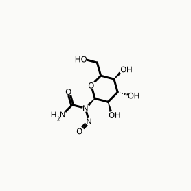 NC(=O)N(N=O)[C@H]1OC(CO)[C@@H](O)[C@H](O)[C@H]1O